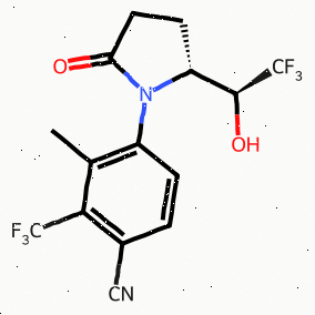 Cc1c(N2C(=O)CC[C@@H]2[C@H](O)C(F)(F)F)ccc(C#N)c1C(F)(F)F